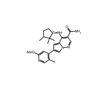 COc1cc(-c2cc3c(N[C@@H]4CCC(C)C4(C)C)c(C(N)=O)cnn3c2)c(F)cn1